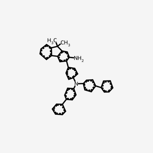 CC1(C)c2ccccc2-c2cc(-c3ccc(N(c4ccc(-c5ccccc5)cc4)c4ccc(-c5ccccc5)cc4)cc3)c(N)cc21